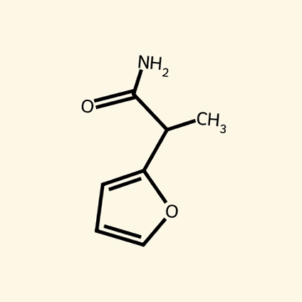 CC(C(N)=O)c1ccco1